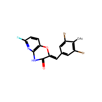 CC(=O)Oc1c(Br)cc(/C=C2\Oc3ccc(F)nc3NC2=O)cc1Br